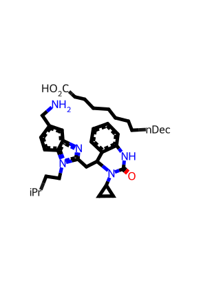 CC(C)CCn1c(CC2c3ccccc3NC(=O)N2C2CC2)nc2cc(CN)ccc21.CCCCCCCCCCCCCCCCCC(=O)O